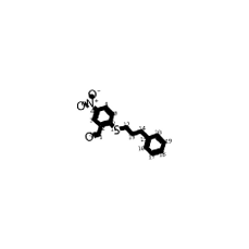 O=Cc1cc([N+](=O)[O-])ccc1SCCCc1ccccc1